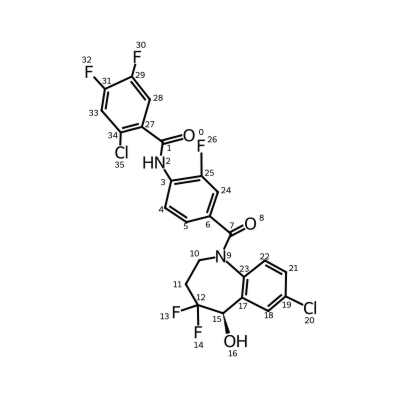 O=C(Nc1ccc(C(=O)N2CCC(F)(F)[C@H](O)c3cc(Cl)ccc32)cc1F)c1cc(F)c(F)cc1Cl